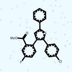 COC(=O)c1cc(F)ccc1-c1cc(-c2ccccc2)sc1-c1ccc(Cl)cc1